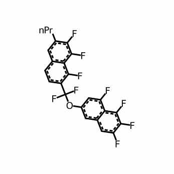 CCCc1cc2ccc(C(F)(F)Oc3cc(F)c4c(F)c(F)c(F)cc4c3)c(F)c2c(F)c1F